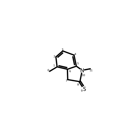 Cc1cccc2c1CC(=S)N2C